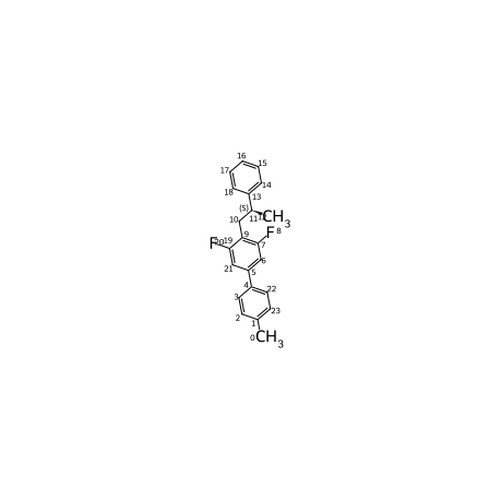 Cc1ccc(-c2cc(F)c(C[C@H](C)c3ccccc3)c(F)c2)cc1